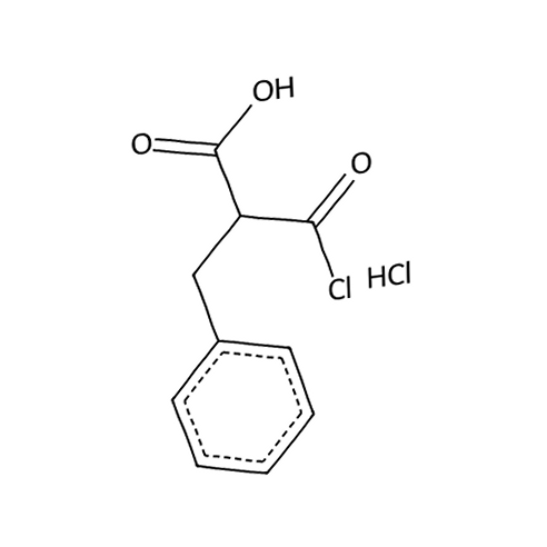 Cl.O=C(O)C(Cc1ccccc1)C(=O)Cl